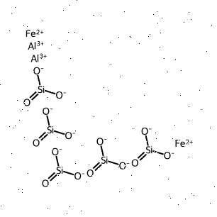 O=[Si]([O-])[O-].O=[Si]([O-])[O-].O=[Si]([O-])[O-].O=[Si]([O-])[O-].O=[Si]([O-])[O-].[Al+3].[Al+3].[Fe+2].[Fe+2]